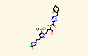 CN(C)c1cc(CCN2CC(F)(F)C2)nn1CCC(C=O)NC(=O)c1ncn(Cc2ccccc2F)n1